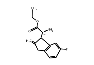 C=C1Cc2ccc(F)cc2C1[C@H](N)C(=O)OCC